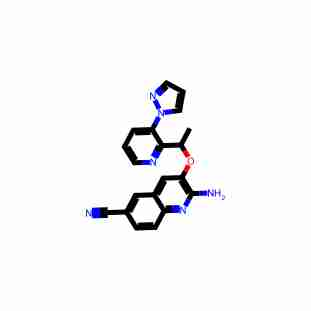 CC(Oc1cc2cc(C#N)ccc2nc1N)c1ncccc1-n1cccn1